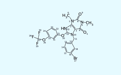 Cn1c2c(c(=O)n(C)c1=O)N(Cc1cccc(Br)c1)C(Oc1cccc(OC(F)(F)F)c1)N2